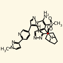 Cn1ccc(-c2ccc(-c3cnn4c(N)c(S(C)(=O)=O)c(C5CC6CCC(C5)N6C(=O)c5nnc[nH]5)nc34)cn2)n1